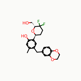 Cc1cc(O)c([C@@H]2CCC(F)(F)[C@@H](CO)O2)cc1Cc1ccc2c(c1)OCCO2